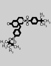 CC(C)(C)c1ccc(S(=O)(=O)N2CCC3=CC(=O)CCC3(Cc3ccc(B4OC(C)(C)C(C)(C)O4)cc3)C2)cc1